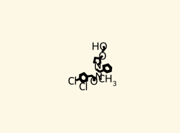 CN(C(=O)Cc1ccc(Cl)c(Cl)c1)C(CN1CCC(OCCO)C1)c1ccccc1